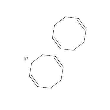 C1=CCCC=CCC1.C1=CCCC=CCC1.[Ir+]